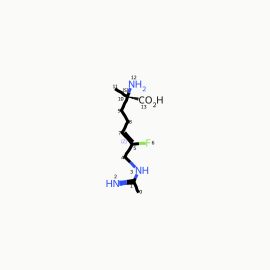 CC(=N)NC/C(F)=C/CC[C@](C)(N)C(=O)O